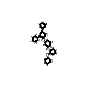 c1ccc(Oc2ccccc2Oc2cccc(Oc3ccc(-c4ccccc4)cc3-c3ccccc3)c2)cc1